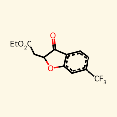 CCOC(=O)CC1Oc2cc(C(F)(F)F)ccc2C1=O